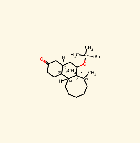 C[C@H]1CCCCC[C@H]2[C@H]1C(O[Si](C)(C)C(C)(C)C)C[C@H]1CC(=O)CC[C@@]12C